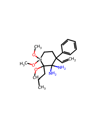 C=CC1(c2ccccc2)CC[Si](OC)(OC)C(CCC)(OC)C1(N)N